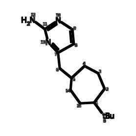 CC(C)(C)C1CCCC(Cc2ccnc(N)n2)CC1